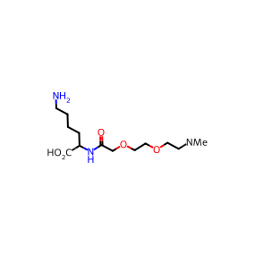 CNCCOCCOCC(=O)NC(CCCCN)C(=O)O